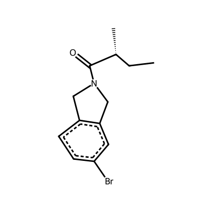 CC[C@@H](C)C(=O)N1Cc2ccc(Br)cc2C1